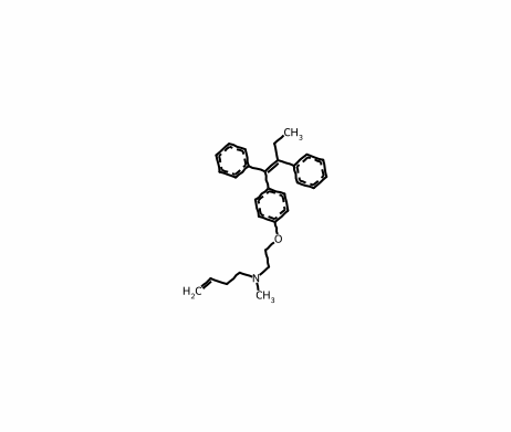 C=CCCN(C)CCOc1ccc(/C(=C(/CC)c2ccccc2)c2ccccc2)cc1